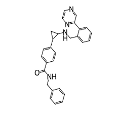 O=C(NCc1ccccc1)c1ccc(C2CC2NCc2ccccc2-c2cnccn2)cc1